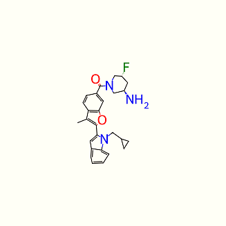 Cc1c(-c2cc3ccccc3n2CC2CC2)oc2cc(C(=O)N3C[C@H](N)C[C@@H](F)C3)ccc12